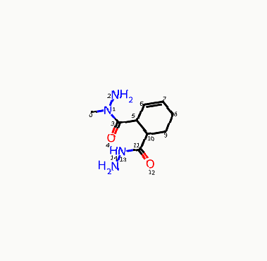 CN(N)C(=O)C1C=CCCC1C(=O)NN